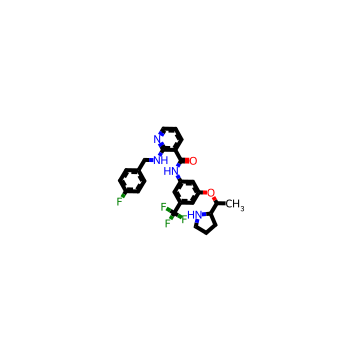 CC(Oc1cc(NC(=O)c2cccnc2NCc2ccc(F)cc2)cc(C(F)(F)F)c1)C1CCCN1